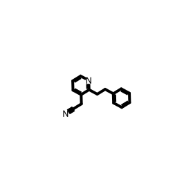 N#CCc1cccnc1CCc1ccccc1